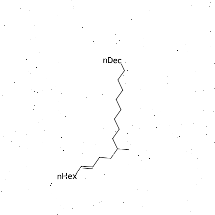 [CH2]CCCCCC=CCCC(C)CCCCCCCCCCCCCCCCC[CH2]